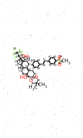 CC1(C)COC2(CCC3=C4[C@@H](CC[C@@]3(O)C2)[C@@H]2CC[C@@](O)(C(F)(F)C(F)(F)F)[C@@]2(C)C[C@@H]4c2ccc(/C=C/c3ccc(S(C)(=O)=O)cc3)cc2)OC1